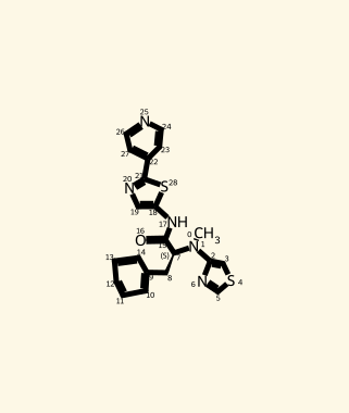 CN(c1cscn1)[C@@H](Cc1ccccc1)C(=O)Nc1cnc(-c2ccncc2)s1